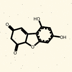 O=C1C=C2c3c(O)cc(O)cc3OC2C(=O)C1